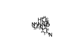 N#Cc1ccc2nc(Nc3cccnc3)n(-c3ccccc3F)c(=O)c2c1